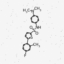 Cc1cc(F)ccc1-c1ccc(S(=O)(=O)Nc2ccc(N(C)C)cc2)s1